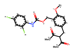 CCOc1ccc(CC(C(=O)OC)C(=O)OC)cc1COC(=O)Nc1ccc(F)cc1F